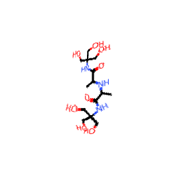 CC(NC(C)C(=O)NC(CO)(CO)CO)C(=O)NC(CO)(CO)CO